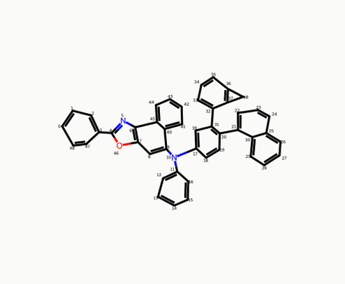 c1ccc(-c2nc3c(cc(N(c4ccccc4)c4ccc(-c5cccc6ccccc56)c(-c5cccc6c5C6)c4)c4ccccc43)o2)cc1